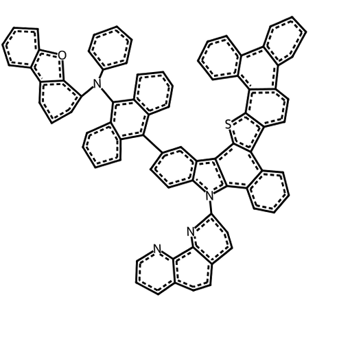 c1ccc(N(c2c3ccccc3c(-c3ccc4c(c3)c3c5sc6c(ccc7c8ccccc8c8ccccc8c76)c5c5ccccc5c3n4-c3ccc4ccc5cccnc5c4n3)c3ccccc23)c2cccc3c2oc2ccccc23)cc1